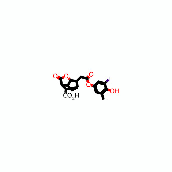 Cc1cc(OC(=O)CC2C3CC4C2OC(=O)C4C3C(=O)O)cc(I)c1O